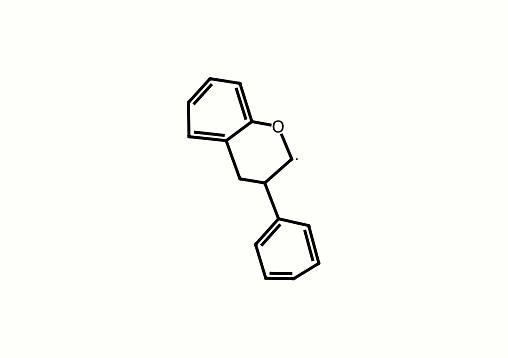 [CH]1Oc2ccccc2CC1c1ccccc1